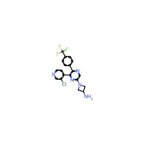 NC1CN(c2cnc(-c3ccc(C(F)(F)F)cc3)c(-c3ccncc3Cl)n2)C1